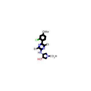 CCc1nc(-c2ccc(OC)cc2Cl)c(CC)nc1N[C@@H]1CN(C(=O)O)C[C@@H]1O